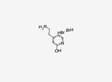 Br.Br.NCCc1ccnc(O)c1